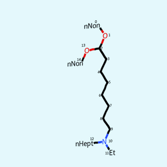 CCCCCCCCCOC(CCCCCCCN(CC)CCCCCCC)OCCCCCCCCC